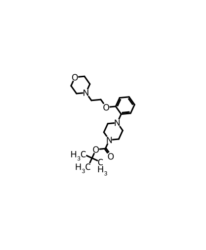 CC(C)(C)OC(=O)N1CCN(c2ccccc2OCCN2CCOCC2)CC1